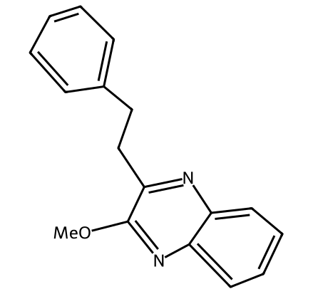 COc1nc2ccccc2nc1CCc1ccccc1